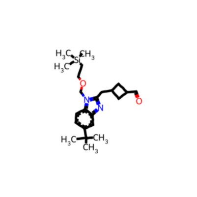 CC(C)(C)c1ccc2c(c1)nc(CC1CC(C=O)C1)n2COCC[Si](C)(C)C